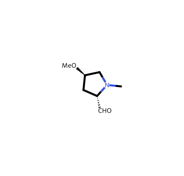 CO[C@@H]1C[C@@H](C=O)N(C)C1